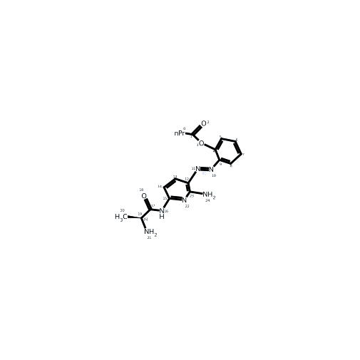 CCCC(=O)Oc1ccccc1/N=N/c1ccc(NC(=O)[C@H](C)N)nc1N